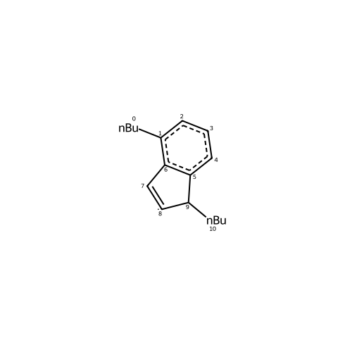 CCCCc1cccc2c1C=[C]C2CCCC